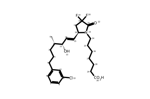 C[C@@H](CCCc1cccc(Cl)c1)[C@@H](O)C=C[C@H]1CC(F)(F)C(=O)N1CCCCCCC(=O)O